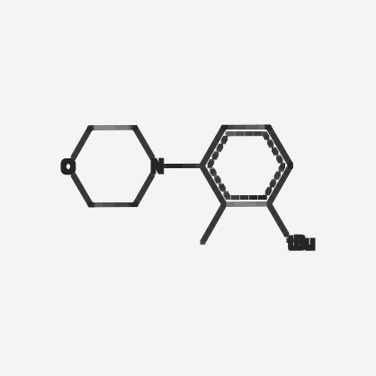 Cc1c(N2CCOCC2)cccc1C(C)(C)C